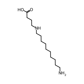 NCCCCCCCCCCNCCCC(=O)O